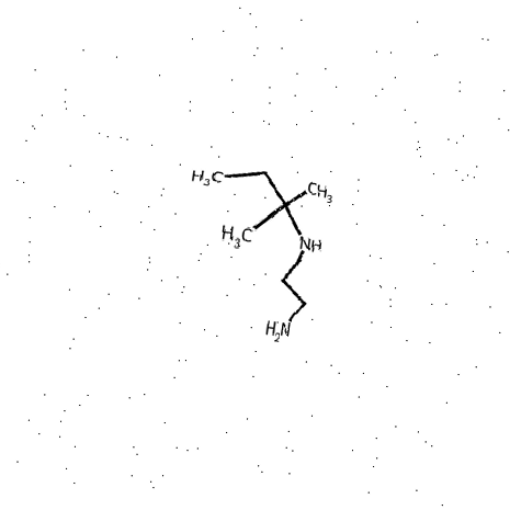 CCC(C)(C)NCCN